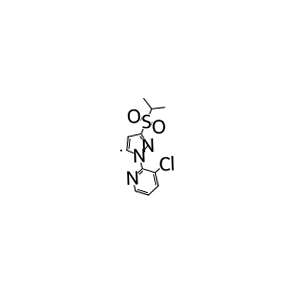 CC(C)S(=O)(=O)c1c[c]n(-c2ncccc2Cl)n1